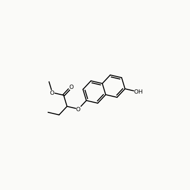 CCC(Oc1ccc2ccc(O)cc2c1)C(=O)OC